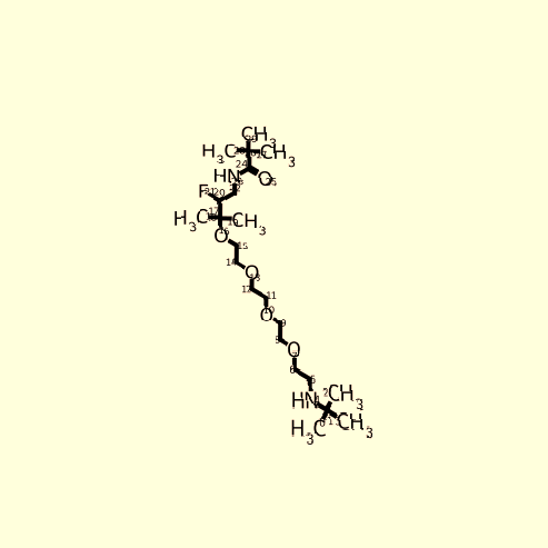 CC(C)(C)NCCOCCOCCOCCOC(C)(C)C(F)CNC(=O)C(C)(C)C